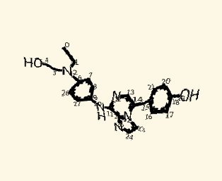 CCN(CCO)c1ccc(Nc2ncc(-c3ccc(O)cc3)n3ccnc23)cc1